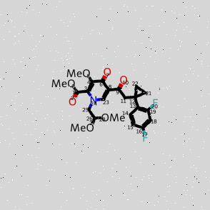 COC(=O)c1c(OC)c(=O)c(C(=O)CC2(c3ccc(F)cc3F)CC2)cn1CC(OC)OC